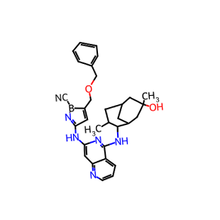 CC1CC2CC(CC(C)(O)C2)C1Nc1nc(NC2=NB(C#N)C(COCc3ccccc3)=C2)cc2ncccc12